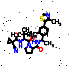 Cc1cc(-c2scnc2C)ccc1C(C)NC(=O)C1CCCN1C(=O)C(NC(=O)C1(C#N)CC1)C(C)(C)C